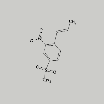 CC=Cc1ccc(S(C)(=O)=O)cc1[N+](=O)[O-]